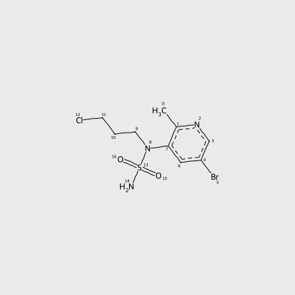 Cc1ncc(Br)cc1N(CCCCl)S(N)(=O)=O